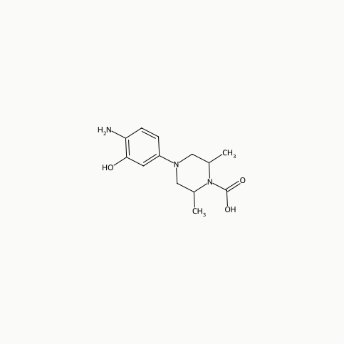 CC1CN(c2ccc(N)c(O)c2)CC(C)N1C(=O)O